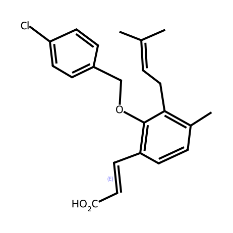 CC(C)=CCc1c(C)ccc(/C=C/C(=O)O)c1OCc1ccc(Cl)cc1